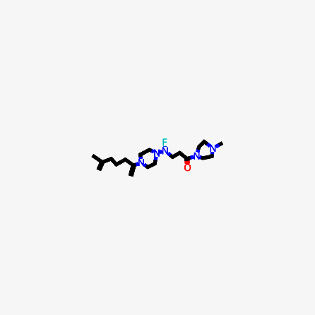 C=C(C)CCCC(=C)N1CCN(N(F)CCC(=O)N2CCN(C)CC2)CC1